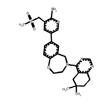 CC1(C)CCc2ncnc(N3CCOc4ccc(-c5cnc(N)c(CS(C)(=O)=O)c5)cc4C3)c2C1